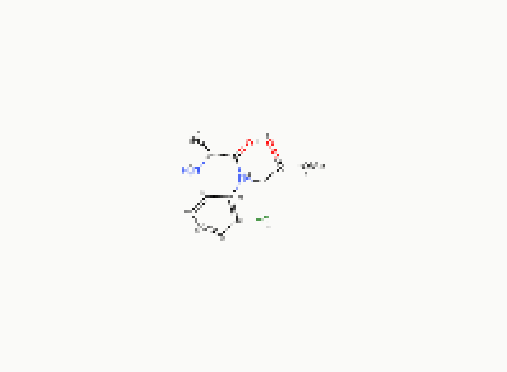 COC(=O)CN(C(=O)[C@@H](N)C(C)C)c1ccccc1.Cl